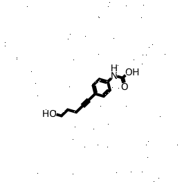 O=C(O)Nc1ccc(C#CCCCO)cc1